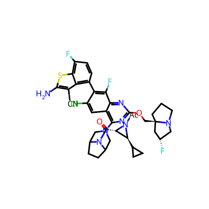 CC(=O)N1[C@@H](C(=O)N2C3CCC2CN(c2nc(OC[C@@]45CCCN4C[C@H](F)C5)nc4c(F)c(-c5ccc(F)c6sc(N)c(C#N)c56)c(Cl)cc24)C3)[C@@H]1C1CC1